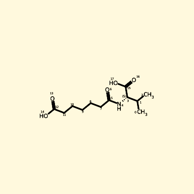 CC(C)[C@H](NC(=O)CCCCCC(=O)O)C(=O)O